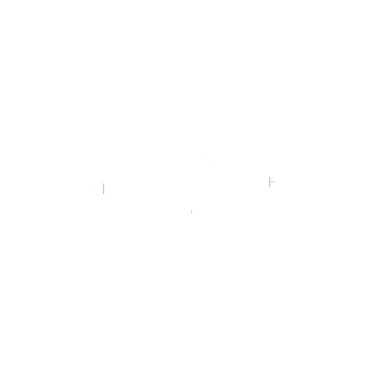 O=C(Cc1ccc(Cl)cc1)c1ccc(F)cc1O